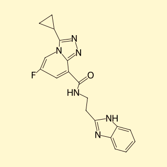 O=C(NCCc1nc2ccccc2[nH]1)c1cc(F)cn2c(C3CC3)nnc12